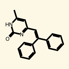 Cc1cc(C=C(c2ccccc2)c2ccccc2)nc(=O)[nH]1